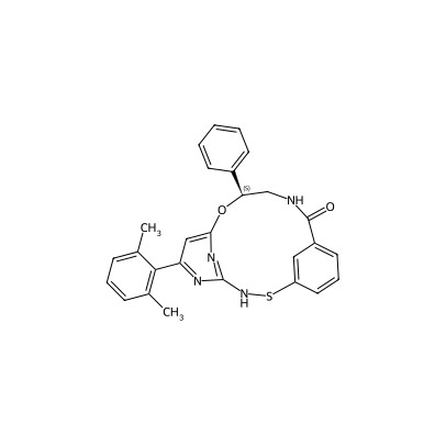 Cc1cccc(C)c1-c1cc2nc(n1)NSc1cccc(c1)C(=O)NC[C@H](c1ccccc1)O2